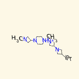 CC(C)C1CN(C2C[N+](C)(N3CCN(C4CN(C)C4)CC3)C2)C1